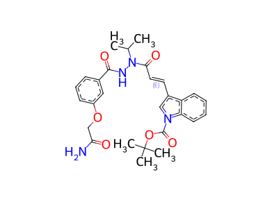 CC(C)N(NC(=O)c1cccc(OCC(N)=O)c1)C(=O)/C=C/c1cn(C(=O)OC(C)(C)C)c2ccccc12